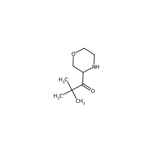 CC(C)(C)C(=O)C1COCCN1